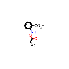 CC(=O)CC(=O)ONc1ccccc1C(=O)O